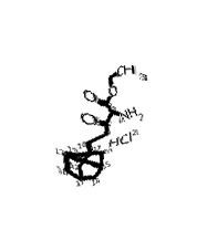 CCOC(=O)C(N)C(=O)CCC12CC3CC(CC(C3)C1)C2.Cl